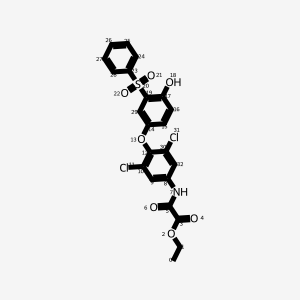 CCOC(=O)C(=O)Nc1cc(Cl)c(Oc2ccc(O)c(S(=O)(=O)c3ccccc3)c2)c(Cl)c1